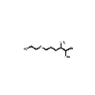 CCCCC(CC)C(C)OCCOCCO